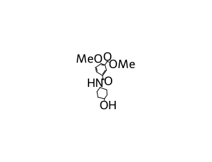 COC(=O)c1cc(C(=O)N[C@H]2CC[C@H](O)CC2)ccc1OC